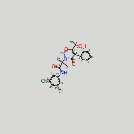 CC(O)C1=C(c2ccccc2)C(=O)N(C(C)(C)C(=O)Nc2cc(Cl)cc(Cl)c2)CO1